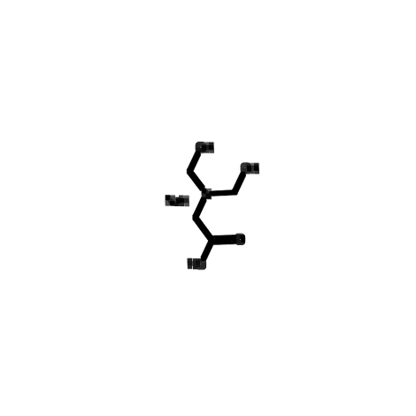 O=C(O)CN(CO)CO.[NaH]